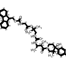 CC(NC(=O)NCC(C)(C)OC(=O)CNC(=O)OCC1c2ccccc2-c2ccccc21)[C@@H](C)C(=O)N1CC[C@](O)(c2ccc(Cl)cc2)C(C)(C)C1